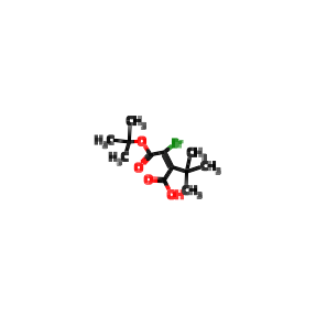 CC(C)(C)OC(=O)C(Br)=C(C(=O)O)C(C)(C)C